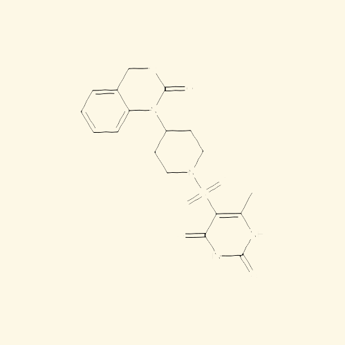 Cc1[nH]c(=O)[nH]c(=O)c1S(=O)(=O)N1CCC(N2C(=O)OCc3ccccc32)CC1